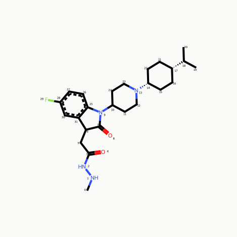 CNNC(=O)CC1C(=O)N(C2CCN([C@H]3CC[C@@H](C(C)C)CC3)CC2)c2ccc(F)cc21